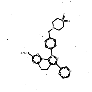 CC(=O)Nc1nc2c(s1)-c1c(c(-c3cccnc3)nn1-c1ccc(CN3CCS(=O)(=O)CC3)cc1)CC2